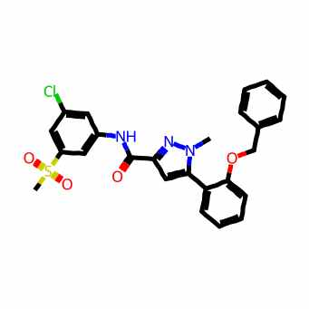 Cn1nc(C(=O)Nc2cc(Cl)cc(S(C)(=O)=O)c2)cc1-c1ccccc1OCc1ccccc1